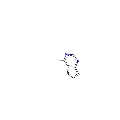 Cc1ncnc2sccc12